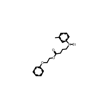 CCN(CCCC(=O)OCCOc1ccccc1)c1cccc(C)c1